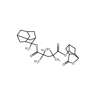 CCC(C)(CC(C)(C)C(=O)OC1(C)C2CC3CC(C2)CC1C3)C(=O)OC1C2CC3C(=O)OC1C3C2